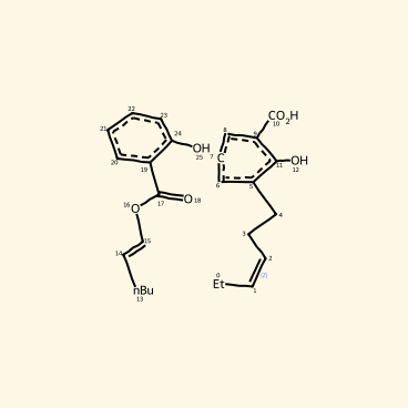 CC/C=C\CCc1cccc(C(=O)O)c1O.CCCCC=COC(=O)c1ccccc1O